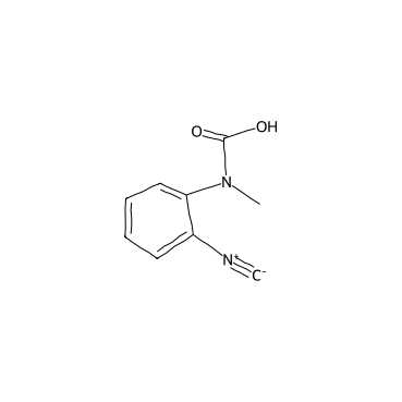 [C-]#[N+]c1ccccc1N(C)C(=O)O